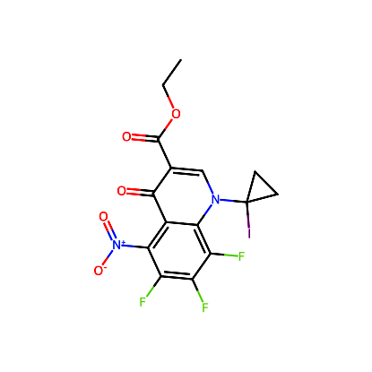 CCOC(=O)c1cn(C2(I)CC2)c2c(F)c(F)c(F)c([N+](=O)[O-])c2c1=O